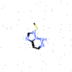 CSN1C=NC2=CC=NNN21